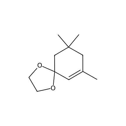 CC1=CC2(CC(C)(C)C1)OCCO2